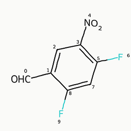 O=Cc1cc([N+](=O)[O-])c(F)cc1F